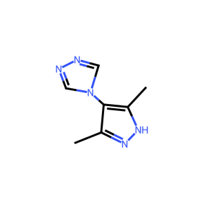 Cc1n[nH]c(C)c1-n1cnnc1